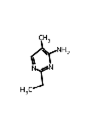 CCc1ncc(C)c(N)n1